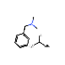 CCCCC(CC)C(=O)O.CN(C)Cc1ccccc1